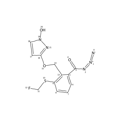 [N-]=[N+]=NC(=O)c1cccc(SCF)c1COc1ccn(O)n1